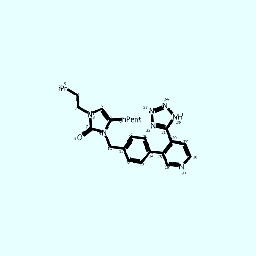 CCCCCc1cn(CCC(C)C)c(=O)n1Cc1ccc(-c2cnccc2-c2nnn[nH]2)cc1